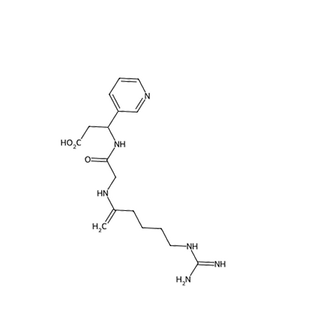 C=C(CCCCNC(=N)N)NCC(=O)NC(CC(=O)O)c1cccnc1